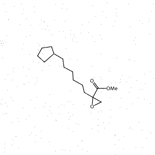 COC(=O)C1(CCCCCCC2CCCC2)CO1